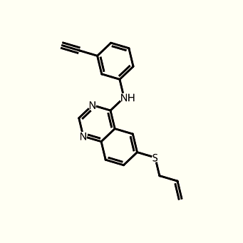 C#Cc1cccc(Nc2ncnc3ccc(SCC=C)cc23)c1